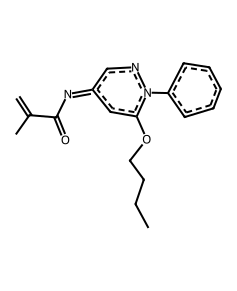 C=C(C)C(=O)/N=c1/cnn(-c2ccccc2)c(OCCCC)c1